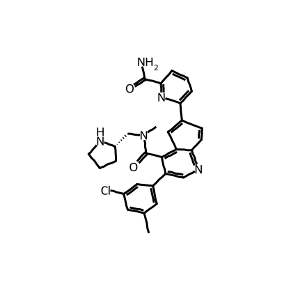 Cc1cc(Cl)cc(-c2cnc3ccc(-c4cccc(C(N)=O)n4)cc3c2C(=O)N(C)C[C@@H]2CCCN2)c1